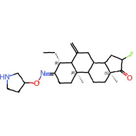 C=C1CC2C(CC[C@]3(C)C(=O)C(F)CC23)[C@@]2(C)CCC(=NOC3CCNC3)[C@H](CC)C12